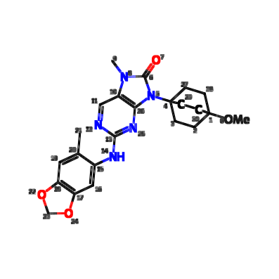 COC12CCC(n3c(=O)n(C)c4cnc(Nc5cc6c(cc5C)OCO6)nc43)(CC1)CC2